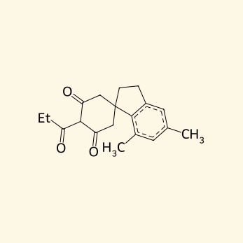 CCC(=O)C1C(=O)CC2(CCc3cc(C)cc(C)c32)CC1=O